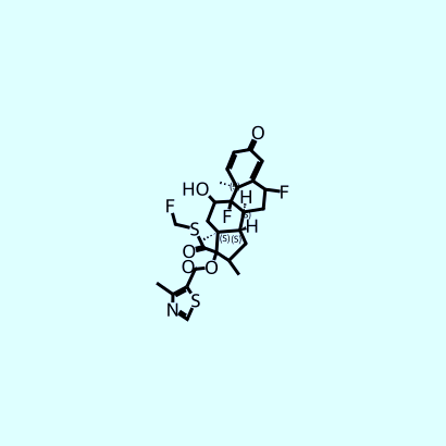 Cc1ncsc1C(=O)OC1(C(=O)SCF)C(C)C[C@H]2[C@@H]3CC(F)C4=CC(=O)C=C[C@]4(C)C3(F)C(O)C[C@@]21C